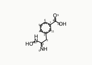 N=C(Cc1cccc(C(=O)O)c1)NO